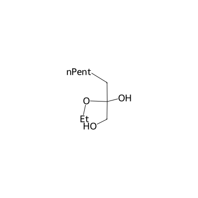 CCCCCCC(O)(CO)OCC